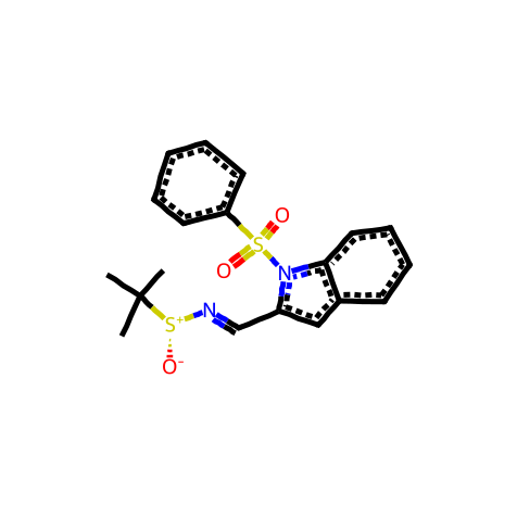 CC(C)(C)[S@@+]([O-])N=Cc1cc2ccccc2n1S(=O)(=O)c1ccccc1